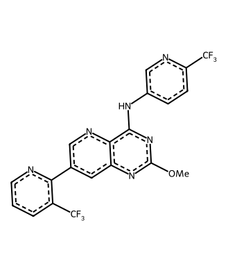 COc1nc(Nc2ccc(C(F)(F)F)nc2)c2ncc(-c3ncccc3C(F)(F)F)cc2n1